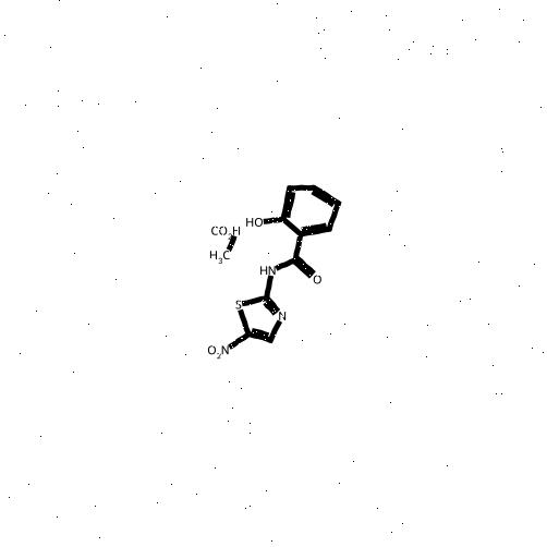 CC(=O)O.O=C(Nc1ncc([N+](=O)[O-])s1)c1ccccc1O